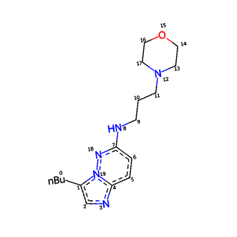 CCCCc1cnc2ccc(NCCCN3CCOCC3)nn12